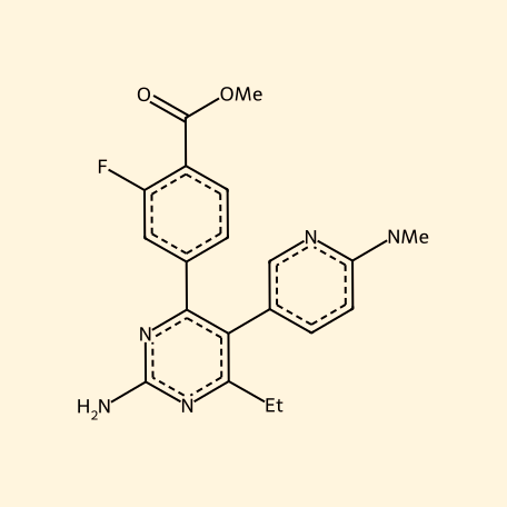 CCc1nc(N)nc(-c2ccc(C(=O)OC)c(F)c2)c1-c1ccc(NC)nc1